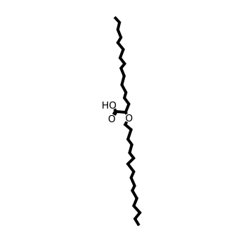 CCCCCCCCCCCCCCCCOC(CCCCCCCCCCCCCC)C(=O)O